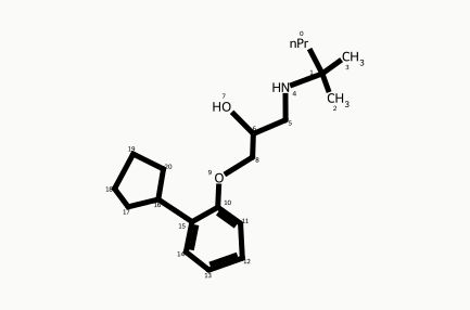 CCCC(C)(C)NCC(O)COc1ccccc1C1CCCC1